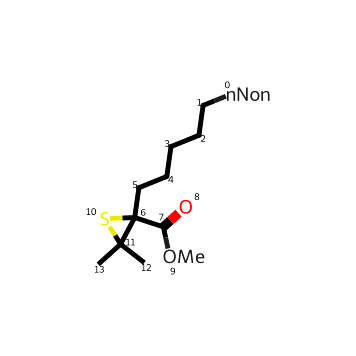 CCCCCCCCCCCCCCC1(C(=O)OC)SC1(C)C